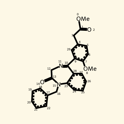 COC(=O)Cc1ccc(OC)c(C2=NCC(=O)N(Cc3ccccc3)c3ccccc32)c1